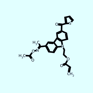 C=CC(=O)OCCn1c2ccc(C(=O)c3cccs3)cc2c2cc(/C(C)=N/OC(C)=O)ccc21